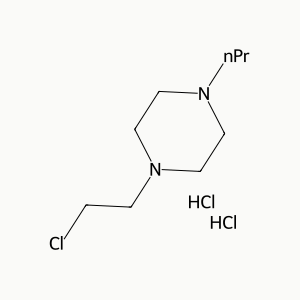 CCCN1CCN(CCCl)CC1.Cl.Cl